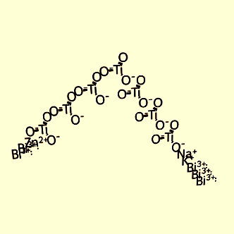 [Bi+3].[Bi+3].[Bi+3].[Bi+3].[Bi+3].[K+].[Na+].[O]=[Ti]([O-])[O-].[O]=[Ti]([O-])[O-].[O]=[Ti]([O-])[O-].[O]=[Ti]([O-])[O-].[O]=[Ti]([O-])[O-].[O]=[Ti]([O-])[O-].[O]=[Ti]([O-])[O-].[Zn+2]